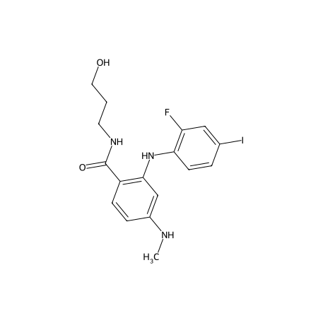 CNc1ccc(C(=O)NCCCO)c(Nc2ccc(I)cc2F)c1